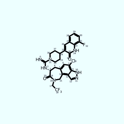 N=C(N[C@@H]1Cc2cc(Cl)c3[nH]ncc3c2CN(CC(F)(F)F)C1=O)N1CCC(c2cc3cccc(F)c3[nH]c2=O)CC1